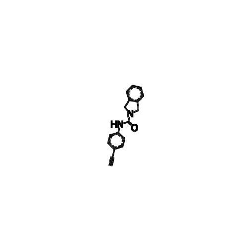 C#Cc1ccc(NC(=O)N2Cc3ccccc3C2)cc1